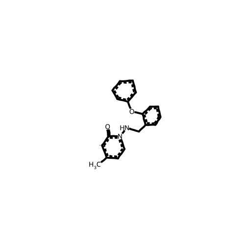 Cc1[c]c(=O)n(NCc2ccccc2Oc2ccccc2)cc1